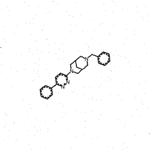 c1ccc(CN2CC3CC(C2)CN(c2ccc(-c4ccccc4)nn2)C3)cc1